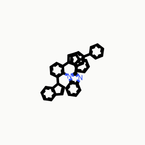 C1=CC(c2cccc(C3C=Cc4ccccc43)c2-n2c(-c3cccc(-c4ccccc4)c3)nc3ccccc32)c2ccccc21